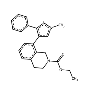 CCOC(=O)N1CCc2cccc(-c3cn(C)nc3-c3ccccc3)c2C1